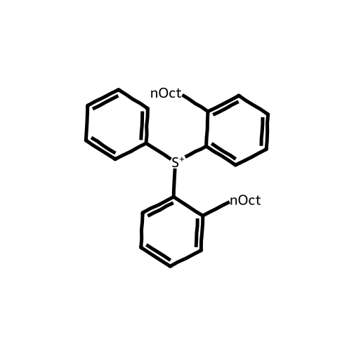 CCCCCCCCc1ccccc1[S+](c1ccccc1)c1ccccc1CCCCCCCC